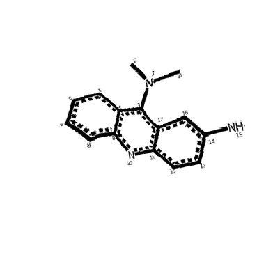 CN(C)c1c2ccccc2nc2ccc([NH])cc12